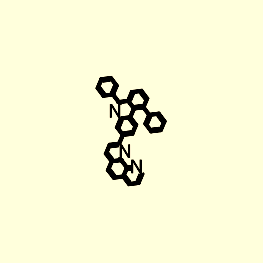 c1ccc(-c2nc3cc(-c4ccc5ccc6cccnc6c5n4)ccc3c3c(-c4ccccc4)cccc23)cc1